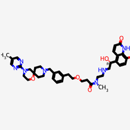 Cc1cnc(N2CCOC3(CCN(Cc4cccc(CCOCCC(=O)N(C)CCNC[C@H](O)c5ccc(O)c6[nH]c(=O)ccc56)c4)CC3)C2)nc1